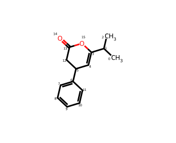 CC(C)C1=CC(c2ccccc2)CC(=O)O1